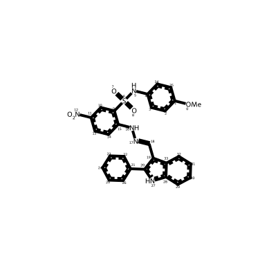 COc1ccc(NS(=O)(=O)c2cc([N+](=O)[O-])ccc2N/N=C/c2c(-c3ccccc3)[nH]c3ccccc23)cc1